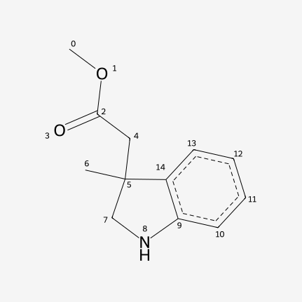 COC(=O)CC1(C)CNc2ccccc21